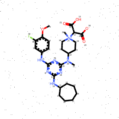 COc1ccc(Nc2nc(NC3CCCCCC3)nc(N(C)C3CC[N+](C)(C(C(=O)[O-])C(=O)O)CC3)n2)cc1F